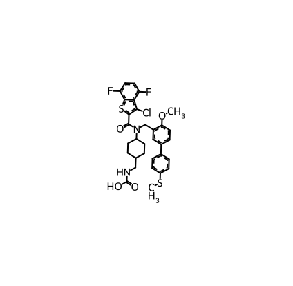 COc1ccc(-c2ccc(SC)cc2)cc1CN(C(=O)c1sc2c(F)ccc(F)c2c1Cl)C1CCC(CNC(=O)O)CC1